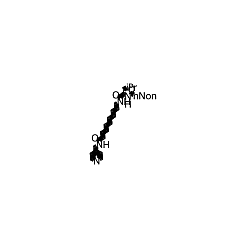 CCCCCCCCCC(=O)N[C@@H](CC(C)C)C(=O)NCCCCCCCCCCC(=O)NCc1ccncc1